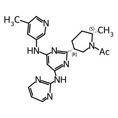 CC(=O)N1C[C@H](c2nc(Nc3cncc(C)c3)cc(Nc3ncccn3)n2)CC[C@@H]1C